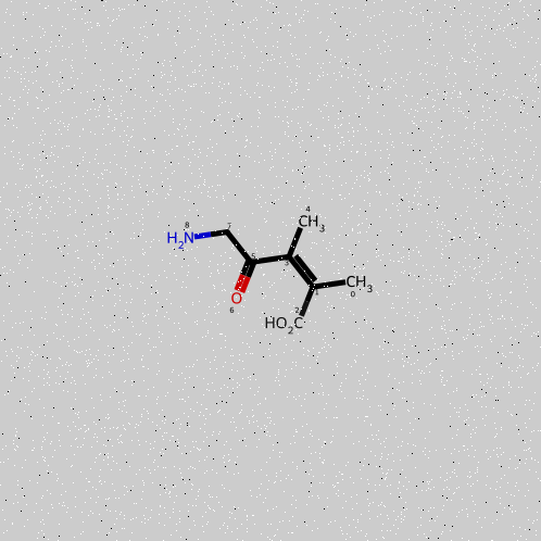 CC(C(=O)O)=C(C)C(=O)CN